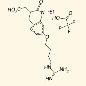 CCN1C(=O)C(CC(=O)O)Cc2ccc(OCCCCNC(=N)N)cc21.O=C(O)C(F)(F)F